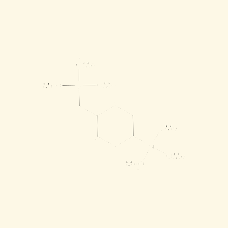 CO[Si](CC1CCC([Si](OC)(OC)OC)CC1)(OC)OC